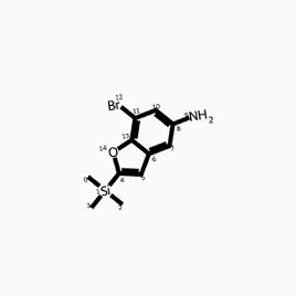 C[Si](C)(C)c1cc2cc(N)cc(Br)c2o1